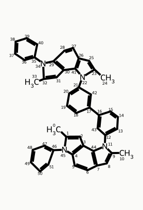 Cc1cc2c(ccc3cc(C)n(-c4cccc(-c5cccc(-n6c(C)cc7ccc8c(cc(C)n8-c8ccccc8)c76)c5)c4)c32)n1-c1ccccc1